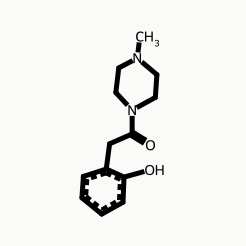 CN1CCN(C(=O)Cc2ccccc2O)CC1